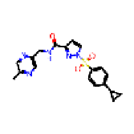 Cc1cnc(CNC(=O)c2ccn(S(=O)(=O)c3ccc(C4CC4)cc3)n2)cn1